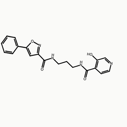 O=C(NCCCNC(=O)c1ccncc1O)c1cc(-c2ccccc2)on1